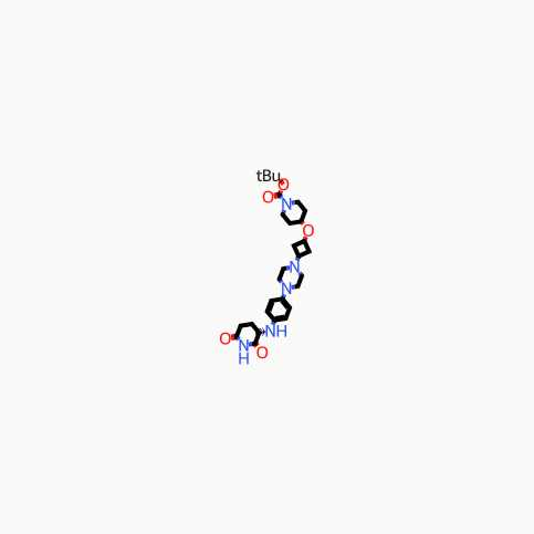 CC(C)(C)OC(=O)N1CCC(OC2CC(N3CCN(c4ccc(N[C@@H]5CCC(=O)NC5=O)cc4)CC3)C2)CC1